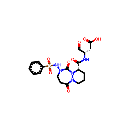 O=C[C@H](CC(=O)O)NC(=O)[C@@H]1CCCN2C(=O)CCN(NS(=O)(=O)c3ccccc3)C(=O)N12